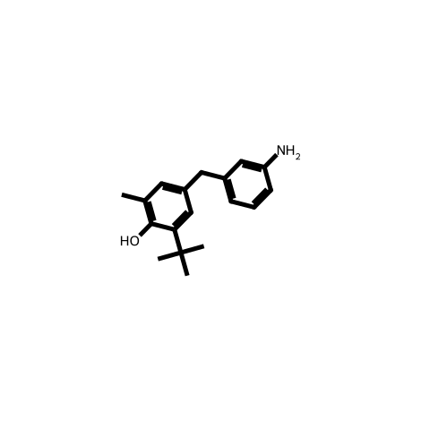 Cc1cc(Cc2cccc(N)c2)cc(C(C)(C)C)c1O